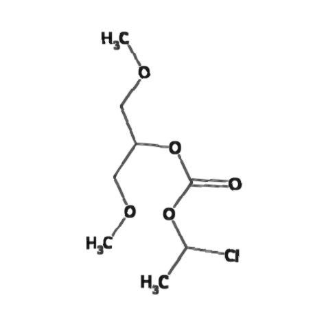 COCC(COC)OC(=O)OC(C)Cl